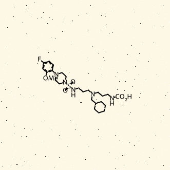 COc1cc(F)ccc1N1CCN(S(=O)(=O)NCCCN(CCCNC(=O)O)CC2CCCCC2)CC1